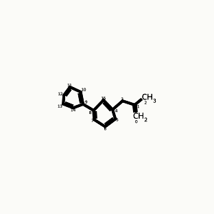 C=C(C)Cc1cccc(-c2ccccc2)c1